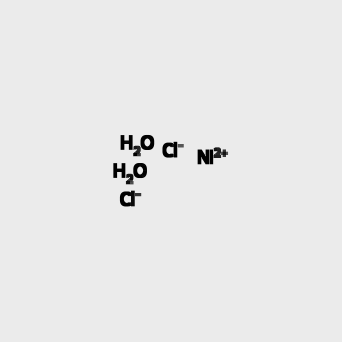 O.O.[Cl-].[Cl-].[Ni+2]